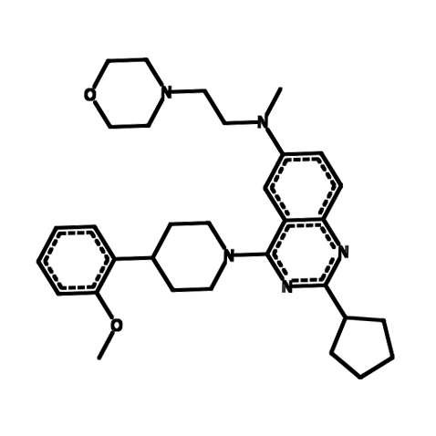 COc1ccccc1C1CCN(c2nc(C3CCCC3)nc3ccc(N(C)CCN4CCOCC4)cc23)CC1